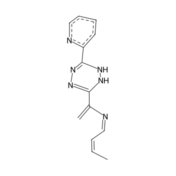 C=C(/N=C\C=C/C)C1=NN=C(c2ccccn2)NN1